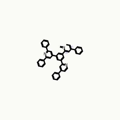 C=N/C(=C\C(=C/C)c1ccccc1)c1cc(-c2cc(-c3ccccc3)nc(-c3ccccc3)c2)cc(-c2cc(-c3ccccc3)ccn2)c1